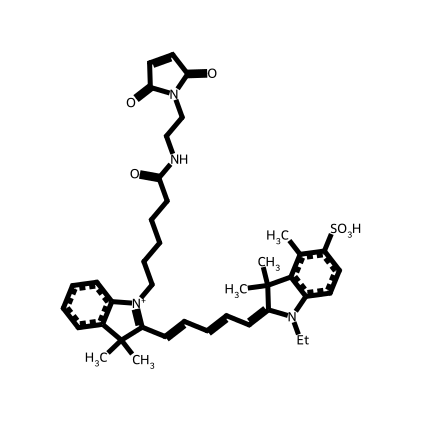 CCN1C(=CC=CC=CC2=[N+](CCCCCC(=O)NCCN3C(=O)C=CC3=O)c3ccccc3C2(C)C)C(C)(C)c2c1ccc(S(=O)(=O)O)c2C